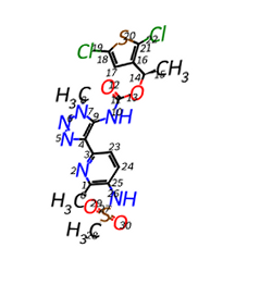 Cc1nc(-c2nnn(C)c2NC(=O)O[C@H](C)c2cc(Cl)sc2Cl)ccc1NS(C)(=O)=O